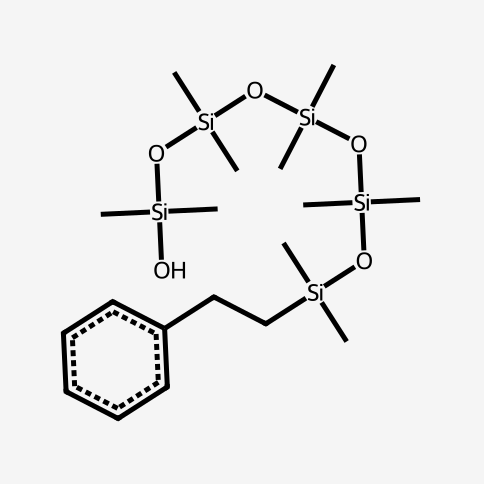 C[Si](C)(O)O[Si](C)(C)O[Si](C)(C)O[Si](C)(C)O[Si](C)(C)CCc1ccccc1